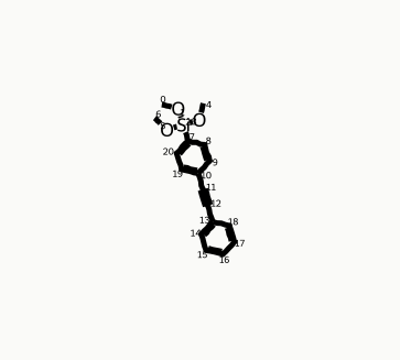 CO[Si](OC)(OC)c1ccc(C#Cc2c[c]ccc2)cc1